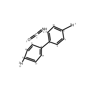 N=C=O.[2H]c1ccc(-c2ccc([2H])cc2)cc1